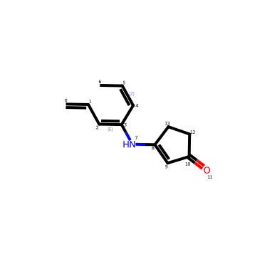 C=C/C=C(\C=C/C)NC1=CC(=O)CC1